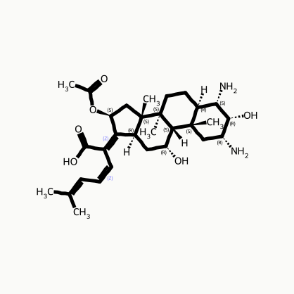 CC(=O)O[C@H]1C[C@@]2(C)[C@@H](C[C@@H](O)[C@H]3[C@@]4(C)C[C@@H](N)[C@@H](O)[C@@H](N)[C@@H]4CC[C@@]32C)/C1=C(\C=C/C=C(C)C)C(=O)O